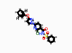 O=C(NS(=O)(=O)c1ccccc1)c1ccc(-n2ccc(O[C@H]3C[C@H]4CC[C@@H]3C4)n2)nc1Cl